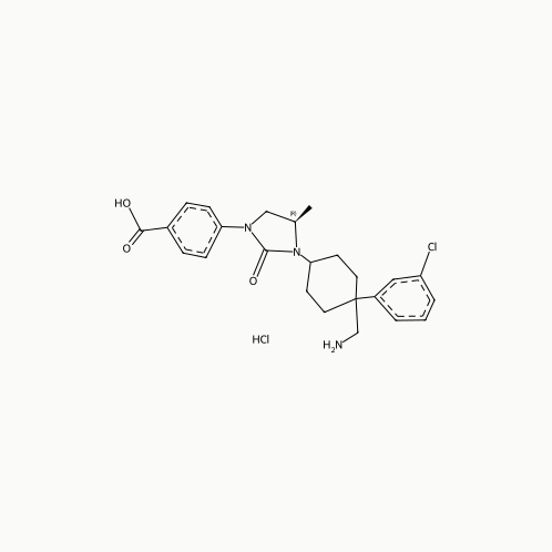 C[C@@H]1CN(c2ccc(C(=O)O)cc2)C(=O)N1C1CCC(CN)(c2cccc(Cl)c2)CC1.Cl